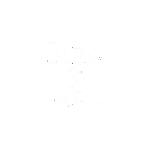 COc1ccc(CN(Cc2ccc(OC)cc2OC)S(=O)(=O)c2cc(NC(=O)c3cc(C(F)(F)F)nnc3N3CCCC(F)(F)CC3)ccn2)c(OC)c1